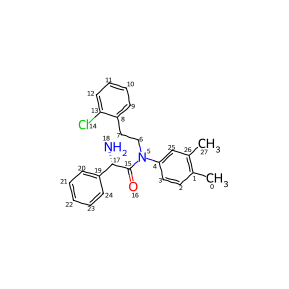 Cc1ccc(N(CCc2ccccc2Cl)C(=O)[C@@H](N)c2ccccc2)cc1C